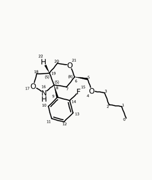 CCCCOC[C@H]1C[C@]2(c3ccccc3F)NOC[C@@H]2CO1